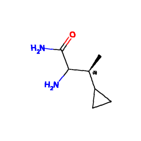 C[C@@H](C1CC1)C(N)C(N)=O